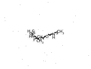 CSCNCCCOCCCOC(C)(C)C(F)CNC(=O)SC